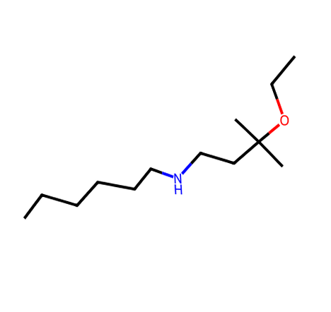 CCCCCCNCCC(C)(C)OCC